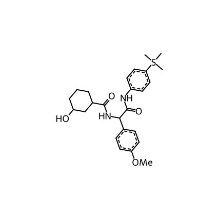 COc1ccc(C(NC(=O)C2CCCC(O)C2)C(=O)Nc2ccc(S(C)(C)C)cc2)cc1